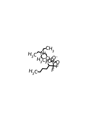 CCCCC(F)C(F)(F)S(=O)(=O)[O-].CC[N+](CC)(CC)CC